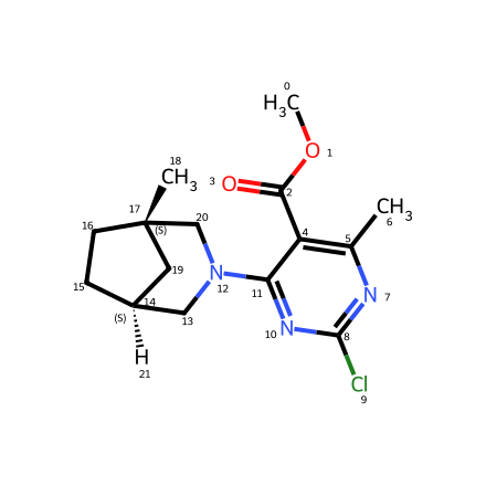 COC(=O)c1c(C)nc(Cl)nc1N1C[C@H]2CC[C@@](C)(C2)C1